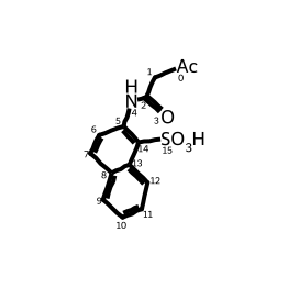 CC(=O)CC(=O)Nc1ccc2ccccc2c1S(=O)(=O)O